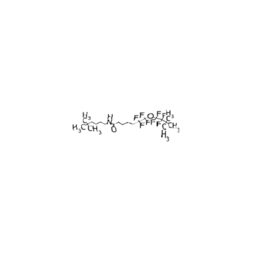 CC(C)(C)CCCCNC(=O)CCCCC(F)(F)C(F)(F)OC(F)(F)C(F)(F)C(C)(C)C